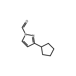 O=Cn1ccc(C2CCCC2)n1